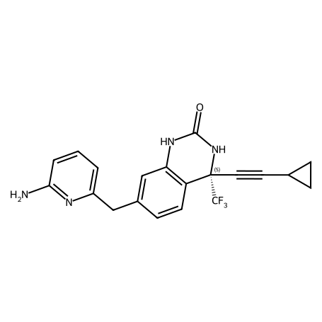 Nc1cccc(Cc2ccc3c(c2)NC(=O)N[C@]3(C#CC2CC2)C(F)(F)F)n1